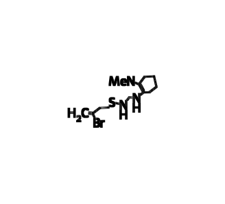 C=C(Br)CCSNCNC1=C(NC)CCCC1